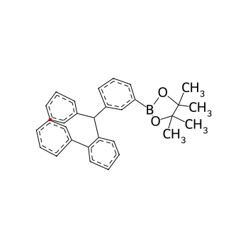 CC1(C)OB(c2cccc(C(c3ccccc3)c3ccccc3-c3ccccc3)c2)OC1(C)C